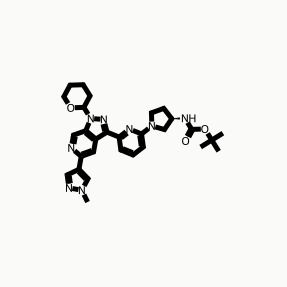 Cn1cc(-c2cc3c(-c4cccc(N5CC[C@H](NC(=O)OC(C)(C)C)C5)n4)nn(C4CCCCO4)c3cn2)cn1